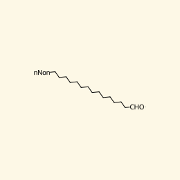 CCCCCCCCCCCCCCCCCCCCCCC[C]=O